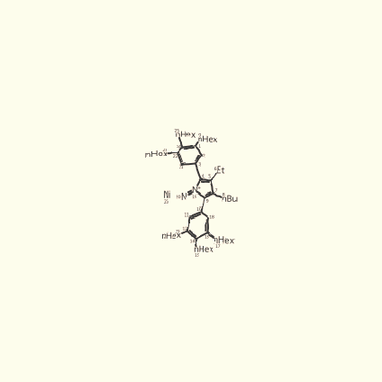 CCCCCCc1cc(C2=C(CC)C(CCCC)=C(c3cc(CCCCCC)c(CCCCCC)c(CCCCCC)c3)[N+]2=[N-])cc(CCCCCC)c1CCCCCC.[Ni]